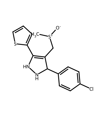 C[S+]([O-])CC1=C(c2cccs2)NNC1c1ccc(Cl)cc1